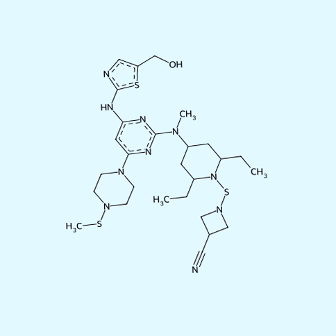 CCC1CC(N(C)c2nc(Nc3ncc(CO)s3)cc(N3CCN(SC)CC3)n2)CC(CC)N1SN1CC(C#N)C1